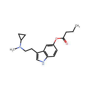 CCCC(=O)Oc1ccc2[nH]cc(CCN(C)C3CC3)c2c1